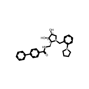 O=C(NC[C@H]1[C@@H](O)[C@@H](O)CN1Cc1ccccc1N1CCCC1)c1ccc(-c2ccccc2)cc1